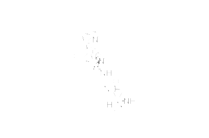 Cc1cc(C)c2cccc(OCc3c(Cl)ccc(S(=O)(=O)N4CCC[C@H]4C(=O)NCC4CCNC(C(=O)c5ccc(C(=N)N)cc5)C4)c3Cl)c2n1